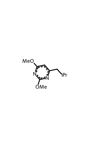 COc1cc(CC(C)C)nc(OC)n1